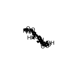 CCc1c2c(nc3ccc(OCc4ccc(NC(=O)[C@H](C)NC(=O)OC(C)(C)C)cc4CNC)cc13)-c1cc3c(c(=O)n1C2)COC(=O)[C@]3(O)CC